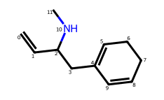 C=CC(CC1=CCCC=C1)NC